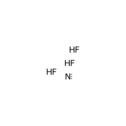 F.F.F.[N]